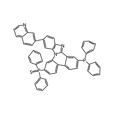 S=P(c1ccccc1)(c1ccccc1)c1ccc2c3ccc(P(c4ccccc4)c4ccccc4)cc3c3nc4ccc(-c5ccc6cccnc6c5)cc4n3c2c1